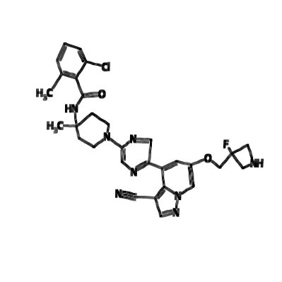 Cc1cccc(Cl)c1C(=O)NC1(C)CCN(c2cnc(-c3cc(OCC4(F)CNC4)cn4ncc(C#N)c34)cn2)CC1